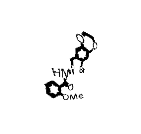 COc1ccccc1C(=O)N/N=C/c1cc2c(cc1Br)OCCO2